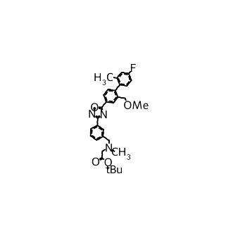 COCc1cc(-c2nc(-c3cccc(CN(C)CC(=O)OC(C)(C)C)c3)no2)ccc1-c1ccc(F)cc1C